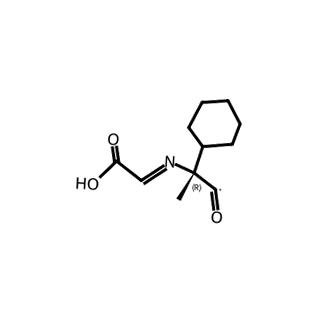 C[C@@]([C]=O)(N=CC(=O)O)C1CCCCC1